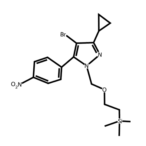 C[Si](C)(C)CCOCn1nc(C2CC2)c(Br)c1-c1ccc([N+](=O)[O-])cc1